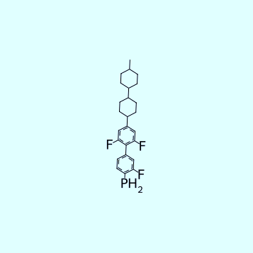 CC1CCC(C2CCC(c3cc(F)c(-c4ccc(P)c(F)c4)c(F)c3)CC2)CC1